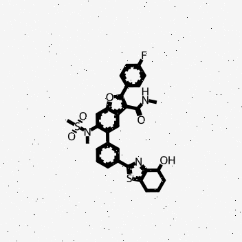 CNC(=O)c1c(-c2ccc(F)cc2)oc2cc(N(C)S(C)(=O)=O)c(-c3cccc(-c4nc5c(s4)CCCC5O)c3)cc12